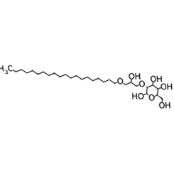 CCCCCCCCCCCCCCCCCCCCOCC(O)CO[C@@H]1[C@@H](O)[C@@H](O)[C@@H](CO)O[C@H]1O